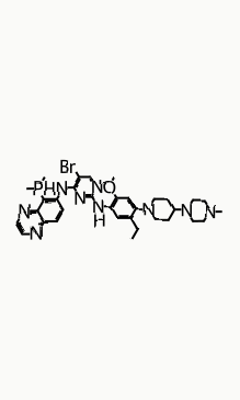 CCc1cc(Nc2ncc(Br)c(Nc3ccc4nccnc4c3P(C)C)n2)c(OC)cc1N1CCC(N2CCN(C)CC2)CC1